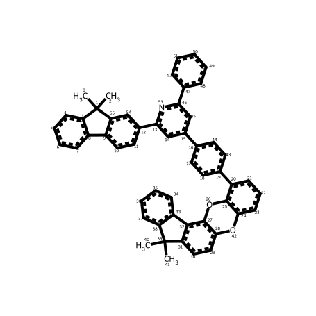 CC1(C)c2ccccc2-c2ccc(-c3cc(-c4ccc(-c5cccc6c5Oc5c(ccc7c5-c5ccccc5C7(C)C)O6)cc4)cc(-c4ccccc4)n3)cc21